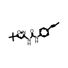 CC#Cc1ccc(NC(=O)Nc2cc(C(C)(C)C)on2)cc1